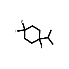 CC(C)C1(F)CCC(F)(F)CC1